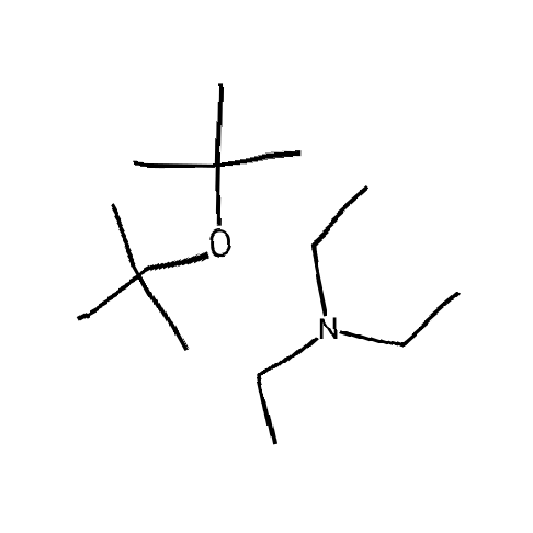 CC(C)(C)OC(C)(C)C.CCN(CC)CC